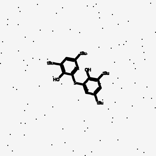 CC(C)(C)c1cc(Sc2cc(C(C)(C)C)cc(C(C)(C)C)c2O)c(O)c(C(C)(C)C)c1